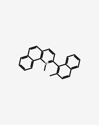 Cc1ccc2ccccc2c1-c1ccc2ccc3ccccc3c2[n+]1C